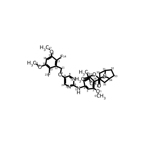 COc1cc(Nc2ncc(OCc3c(F)c(OC)cc(OC)c3F)cn2)ccc1C1CC2CCC(C1)N2C(=O)OC(C)(C)C